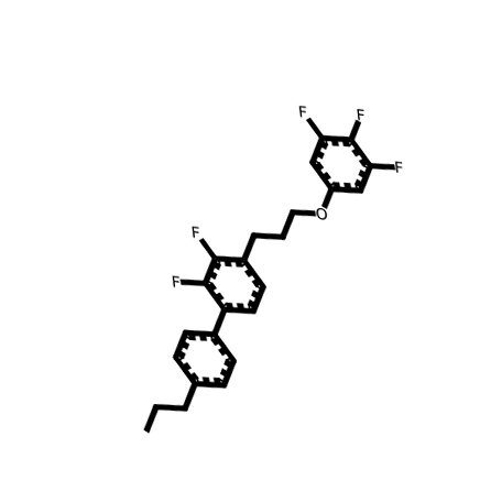 CCCc1ccc(-c2ccc(CCCOc3cc(F)c(F)c(F)c3)c(F)c2F)cc1